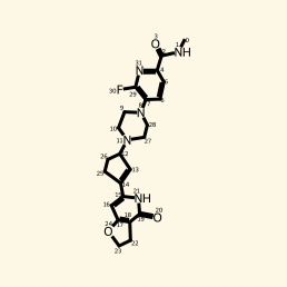 CNC(=O)c1ccc(N2CCN(C3C=C(c4cc5c(c(=O)[nH]4)CCO5)CC3)CC2)c(F)n1